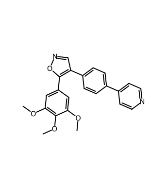 COc1cc(-c2oncc2-c2ccc(-c3ccncc3)cc2)cc(OC)c1OC